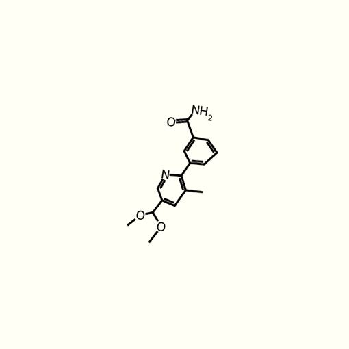 COC(OC)c1cnc(-c2cccc(C(N)=O)c2)c(C)c1